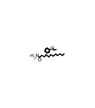 CCCCCCCCCCCC(N)=O.CCOc1ccccc1